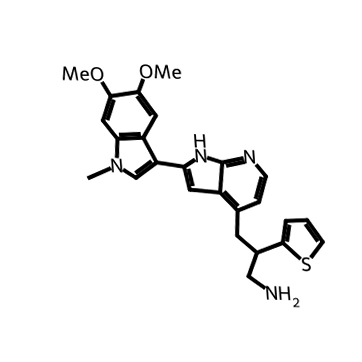 COc1cc2c(-c3cc4c(CC(CN)c5cccs5)ccnc4[nH]3)cn(C)c2cc1OC